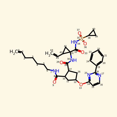 C=CCCCCCNC(=O)C1CC(Oc2ccnc(-c3ccccc3)n2)CC1C(=O)NC1(C(=O)NS(=O)(=O)C2CC2)CC1C=C